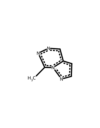 Cc1nncc2ccnn12